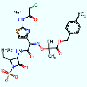 CC(=O)NC[C@H]1[C@@H](NC(=O)/C(=N\OC(C)(C)C(=O)OCc2ccc([N+](=O)[O-])cc2)c2csc(NC(=O)CCl)n2)C(=O)N1S(=O)(=O)[O-].[Na+]